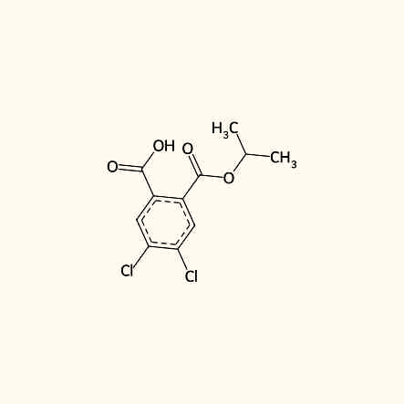 CC(C)OC(=O)c1cc(Cl)c(Cl)cc1C(=O)O